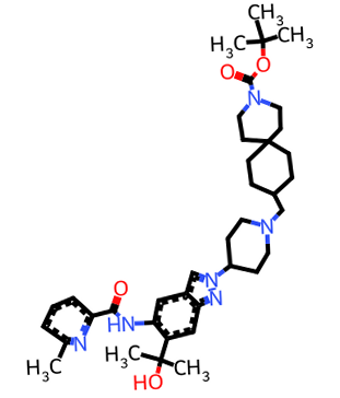 Cc1cccc(C(=O)Nc2cc3cn(C4CCN(CC5CCC6(CC5)CCN(C(=O)OC(C)(C)C)CC6)CC4)nc3cc2C(C)(C)O)n1